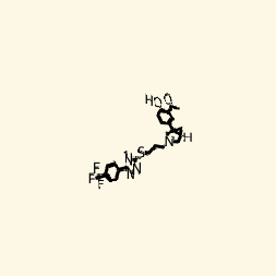 CC(=O)c1cc(C23C[C@@H]2CN(CCCSc2nnc(-c4ccc(C(F)(F)F)cc4)n2C)C3)ccc1O